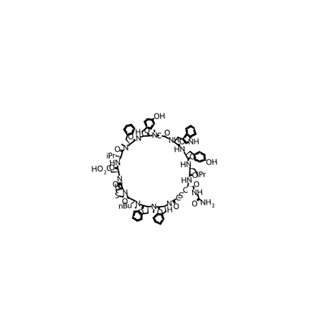 CCCC[C@H]1C(=O)N2CSC[C@@H]2C(=O)N[C@@H](CC(=O)O)C(=O)N[C@@H](C(C)C)C(=O)N(C)[C@@H](Cc2ccccc2)C(=O)N[C@@H](Cc2ccc(O)cc2)C(=O)N(C)CC(=O)N[C@@H](Cc2c[nH]c3ccccc23)C(=O)N[C@@H](Cc2ccc(O)cc2)C(=O)N[C@@H](CC(C)C)C(=O)N[C@H](C(=O)NCC(N)=O)CSCC(=O)N[C@@H](Cc2ccccc2)C(=O)N(C)[C@@H](Cc2ccccc2)C(=O)N1C